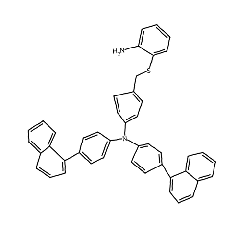 Nc1ccccc1SCc1ccc(N(c2ccc(-c3cccc4ccccc34)cc2)c2ccc(-c3cccc4ccccc34)cc2)cc1